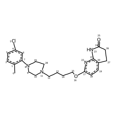 Cc1ccc(Cl)cc1N1CCN(CCCCOc2ccc3c(n2)NC(=O)CC3)CC1